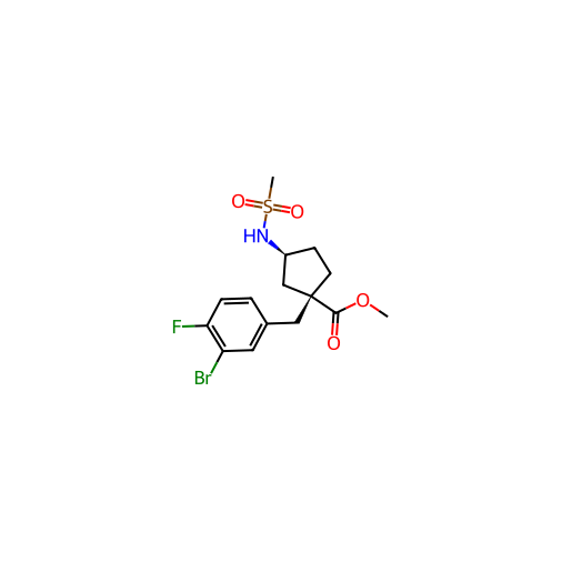 COC(=O)[C@@]1(Cc2ccc(F)c(Br)c2)CC[C@H](NS(C)(=O)=O)C1